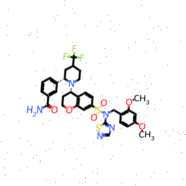 COc1ccc(CN(c2ncns2)S(=O)(=O)c2ccc3c(c2)OCC[C@@H]3N2CCC(C(F)(F)F)C[C@H]2c2cccc(C(N)=O)c2)c(OC)c1